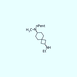 CCCCCN(C)[C@H]1CCC2(CC1)C[C@H](NCC)C2